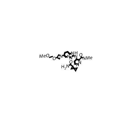 CNC(=O)c1nnc([C@@]2(C(N)=O)CC23CC3)cc1Nc1nc2ccc(N3CC(OCCOC)C3)cn2n1